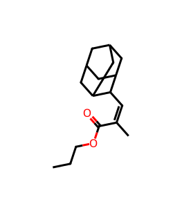 CCCOC(=O)C(C)=CC1C2CC3CC(C2)CC1C3